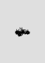 CN(C)C(COCc1ccccc1)C(=O)NC(Cc1ccccn1)c1ccccc1